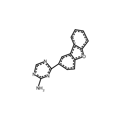 Nc1ncnc(-c2ccc3oc4ccccc4c3c2)n1